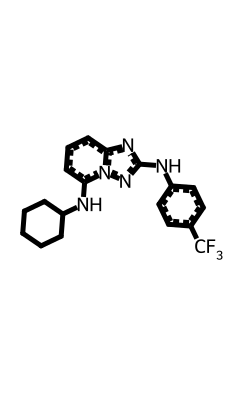 FC(F)(F)c1ccc(Nc2nc3cccc(NC4CCCCC4)n3n2)cc1